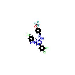 FC(F)(F)Oc1ccc(/C=N/Nc2nc(Nc3ccc(Cl)cc3)nc(-c3ccc(Cl)c(Cl)c3)n2)cc1